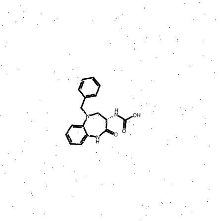 O=C(O)N[C@H]1CN(Cc2ccccc2)c2ccccc2NC1=O